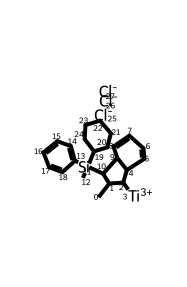 CC1[CH]([Ti+3])C2C=CC=CC2C1[Si](C)(c1ccccc1)C1CCCCC1.[Cl-].[Cl-].[Cl-]